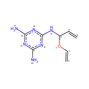 C=COC(C=C)Nc1nc(N)nc(N)n1